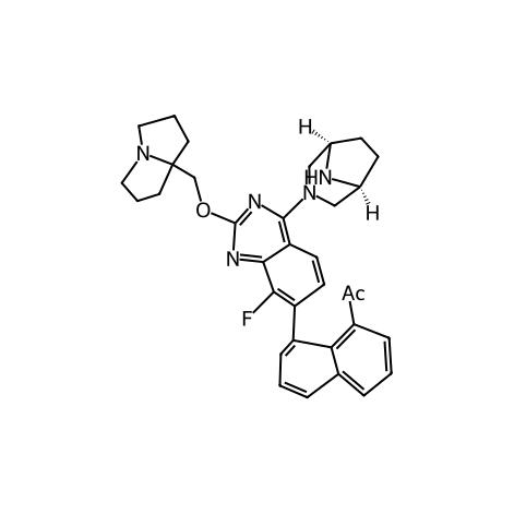 CC(=O)c1cccc2cccc(-c3ccc4c(N5C[C@H]6CC[C@@H](C5)N6)nc(OCC56CCCN5CCC6)nc4c3F)c12